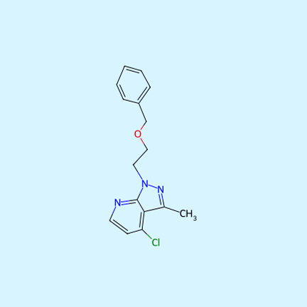 Cc1nn(CCOCc2ccccc2)c2nccc(Cl)c12